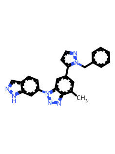 Cc1cc(-c2ccnn2Cc2ccccc2)cc2c1nnn2-c1ccc2cn[nH]c2c1